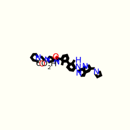 Cc1c(Nc2nccc3cc(CN4CCCC4)cnc23)cccc1-c1cccc(-c2nc3c(o2)CN(C(=O)CN2CCCCC2C(=O)O)C3)c1C